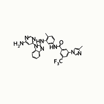 Cc1cn(-c2cc(C(=O)Nc3ccc(C)c(Nc4nc5ccccc5n4-c4cc(N)ncn4)c3)cc(C(F)(F)F)c2)cn1